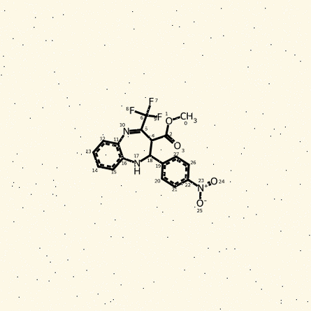 COC(=O)C1C(C(F)(F)F)=Nc2ccccc2NC1c1ccc([N+](=O)[O-])cc1